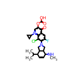 CNC1C=CC(C(C)C)C2CN(c3c(F)cc4c(=O)c(OC(=O)O)cn(C5CC5)c4c3Cl)CC12